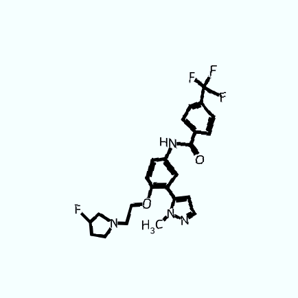 Cn1nccc1-c1cc(NC(=O)c2ccc(C(F)(F)F)cc2)ccc1OCCN1CCC(F)C1